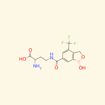 NC(CCNC(=O)c1cc2c(c(C(F)(F)F)c1)COB2O)C(=O)O